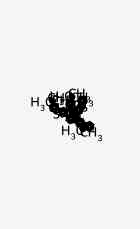 CC(C)(C)c1ccc(N2B3c4cc5c(cc4-n4c6cc7c(cc6c6ccc(c3c64)-c3cc4sc6ccc(C(C)(C)C)cc6c4cc32)C(C)(C)c2ccccc2-7)sc2ccccc25)cc1